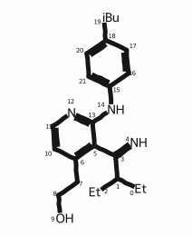 CCC(CC)C(=N)c1c(CCO)ccnc1Nc1ccc(C(C)CC)cc1